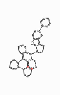 c1ccc(-c2ccc3oc4c(-c5c6ccccc6c(-c6ccccc6-c6ccccc6)c6ccccc56)cccc4c3c2)cc1